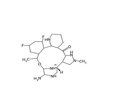 CC1OC2N[C@@H](CNC2N)C2CN(C)NC2C(=O)C2CCCNC2C2C(F)CC(F)CC12